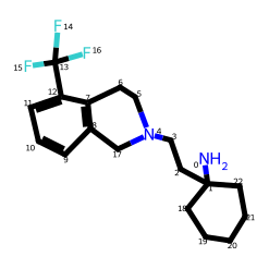 NC1(CCN2CCc3c(cccc3C(F)(F)F)C2)CCCCC1